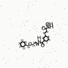 O=C(/C=C/c1cccc(C(=O)N/N=C/COCc2ccccc2)c1)NO